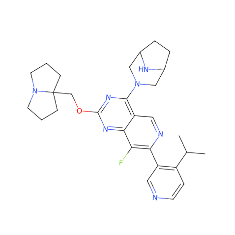 CC(C)c1ccncc1-c1ncc2c(N3CC4CCC(C3)N4)nc(OCC34CCCN3CCC4)nc2c1F